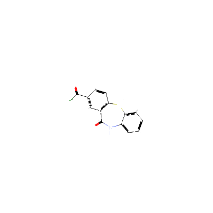 O=C(Cl)c1ccc2c(c1)C(=O)Nc1ccccc1S2